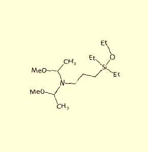 CCO[Si](CC)(CC)CCCN(C(C)OC)C(C)OC